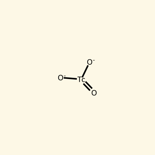 [O]=[Tc]([O-])[O-]